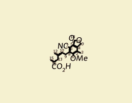 COc1c(C)c2c(c(C#N)c1CC=C(C)C[C@@H](C)C(=O)O)C(=O)OC2